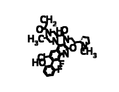 C=CC(=O)N1C[C@@H]2C(=O)N3C[C@@H]([C@@H]4CCCN4C)Oc4nc5c(F)c(-c6c(O)cccc6F)c(Cl)cc5c(c43)N2C[C@H]1C